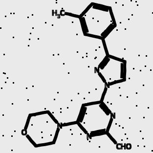 Cc1cccc(-c2ccn(-c3cc(N4CCOCC4)nc(C=O)n3)n2)c1